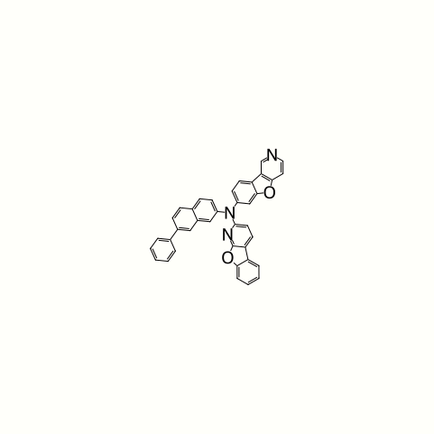 c1ccc(-c2ccc3ccc(N(c4ccc5c(c4)oc4ccncc45)c4ccc5c(n4)oc4ccccc45)cc3c2)cc1